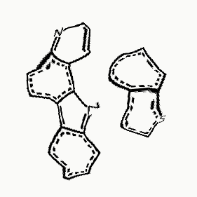 C1=Cc2c3c(ccc2=N1)=c1ccccc1=N3.c1ccc2sccc2c1